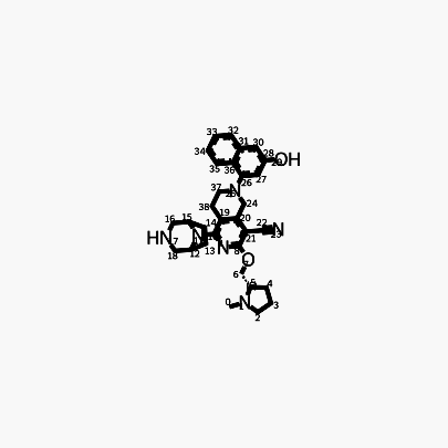 CN1CCC[C@H]1COc1nc(N2C3CCC2CNC3)c2c(c1C#N)CN(c1cc(O)cc3ccccc13)CC2